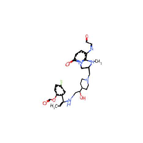 C/C=C(/NCC(O)C1CCN(CC2Cn3c(c(/N=C\C=O)ccc3=O)N2C)CC1)c1cc(F)ccc1OC=O